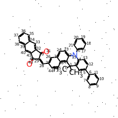 CC1(C)c2cc(-c3ccccc3)ccc2N(c2ccccc2)c2ccc3cc(C=C4C(=O)c5cc6ccccc6cc5C4=O)ccc3c21